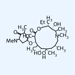 CC[C@H]1OC(=O)[C@H](C)[C@@H](OC2CC(NC)C(=O)C(C)O2)[C@H](C)[C@@H](O)[C@](C)(O)C[C@@H](C)CN(C)[C@H](C)[C@@H](O)[C@H]1C